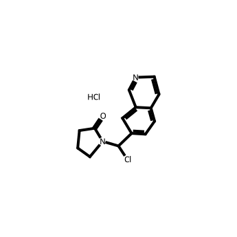 Cl.O=C1CCCN1C(Cl)c1ccc2ccncc2c1